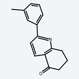 Cc1cccc(-c2ccc3c(n2)CCCC3=O)c1